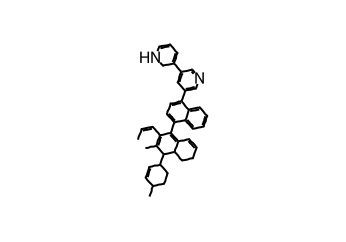 C/C=C\C1=C(C)C(C2C=CC(C)CC2)C2CCC=CC2=C1c1ccc(-c2cncc(C3=CC=CNC3)c2)c2ccccc12